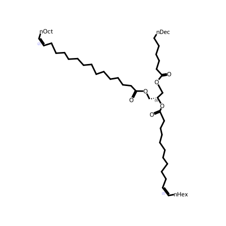 CCCCCC/C=C\CCCCCCCCCC(=O)O[C@H](COC(=O)CCCCCCCCCCCCC/C=C\CCCCCCCC)COC(=O)CCCCCCCCCCCCCCC